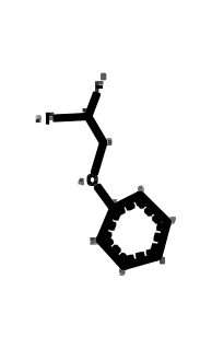 FC(F)COc1[c]cccc1